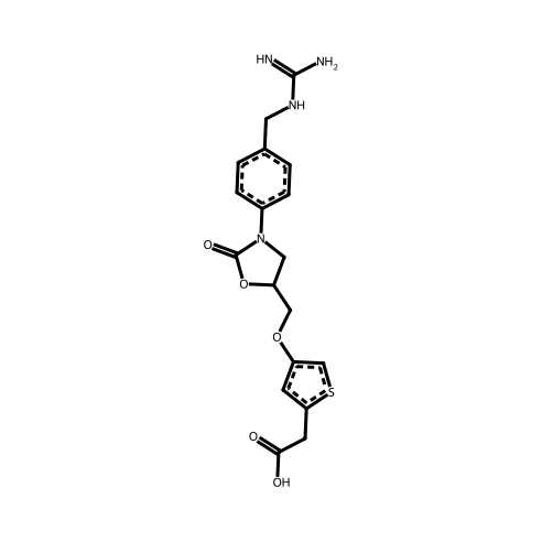 N=C(N)NCc1ccc(N2CC(COc3csc(CC(=O)O)c3)OC2=O)cc1